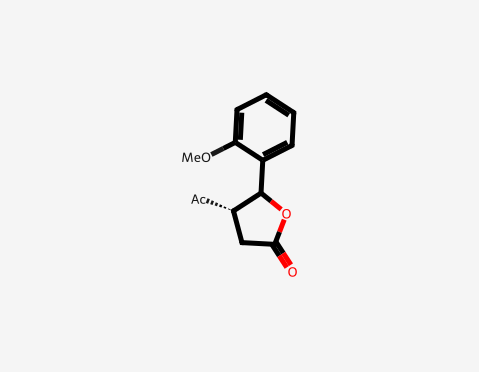 COc1ccccc1C1OC(=O)C[C@@H]1C(C)=O